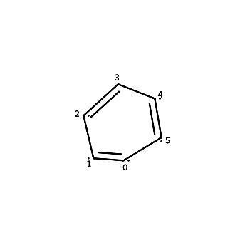 [c]1[c][c]c[c][c]1